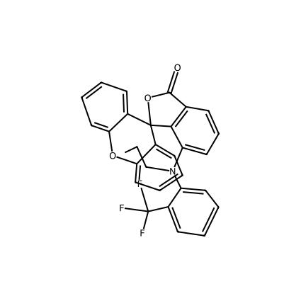 CCCN(c1ccccc1C(F)(F)F)c1cccc2c1C1(OC2=O)c2ccccc2Oc2ccccc21